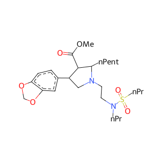 CCCCCC1C(C(=O)OC)C(c2ccc3c(c2)OCO3)CN1CCN(CCC)S(=O)(=O)CCC